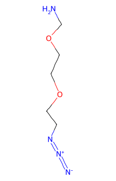 [N-]=[N+]=NCCOCCOCN